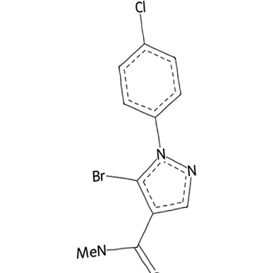 CNC(=O)c1cnn(-c2ccc(Cl)cc2)c1Br